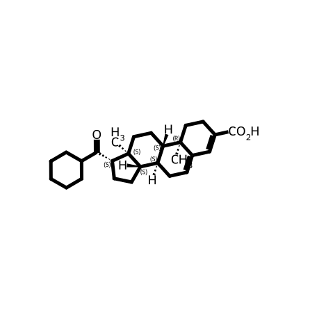 C[C@]12CC[C@H]3[C@@H](CC=C4C=C(C(=O)O)CC[C@@]43C)[C@@H]1CC[C@@H]2C(=O)C1CCCCC1